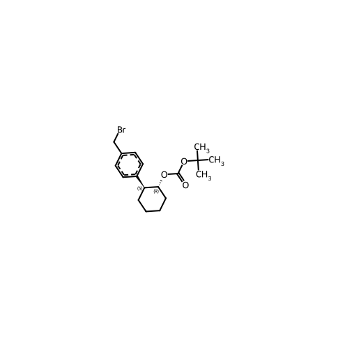 CC(C)(C)OC(=O)O[C@@H]1CCCC[C@H]1c1ccc(CBr)cc1